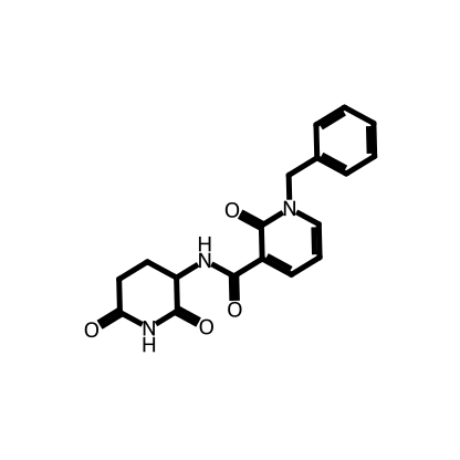 O=C1CCC(NC(=O)c2cccn(Cc3ccccc3)c2=O)C(=O)N1